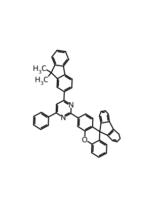 CC1(C)c2ccccc2-c2ccc(-c3cc(-c4ccccc4)nc(-c4ccc5c(c4)Oc4ccccc4C54C5=C(CCC=C5)c5ccccc54)n3)cc21